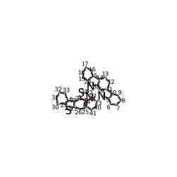 c1ccc(-n2c3ccccc3c3ccc4c5ccccc5n(-c5nc6ccc7sc8ccccc8c7c6s5)c4c32)cc1